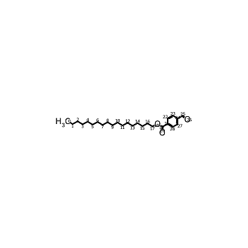 CCCCCCCCCCCCCCCCCCOC(=O)c1ccc(C=O)cc1